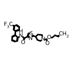 C=CCCOC(=O)N1CCC(c2nc(C(=O)Nc3ccccc3-c3cccc(C(F)(F)F)c3)cs2)CC1